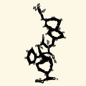 COC(=O)c1ccc(C2(c3ccccc3)NC(=O)N(Cc3ccc4ccc(C=NN)cc4c3)C2=O)cc1